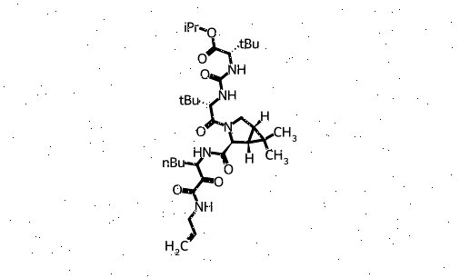 C=CCNC(=O)C(=O)C(CCCC)NC(=O)[C@@H]1[C@@H]2[C@H](CN1C(=O)[C@@H](NC(=O)N[C@H](C(=O)OC(C)C)C(C)(C)C)C(C)(C)C)C2(C)C